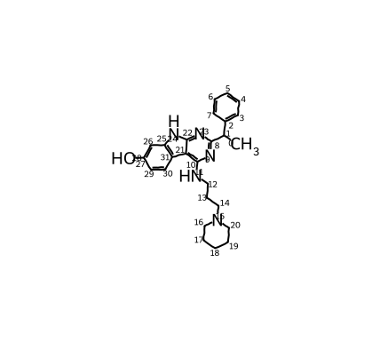 CC(c1ccccc1)c1nc(NCCCN2CCCCC2)c2c(n1)[nH]c1cc(O)ccc12